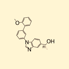 COc1ccccc1-c1cccc(-n2cnc3cc([C@@H](C)O)ccc32)c1